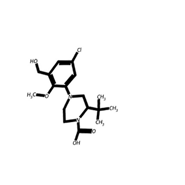 COc1c(CO)cc(Cl)cc1N1CCN(C(=O)O)C(C(C)(C)C)C1